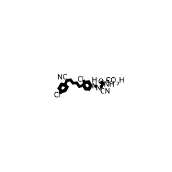 N#CC(=NNc1ccc(CCCCC(C#N)c2ccc(Cl)cc2)c(Cl)c1)C(=O)NC(=O)O